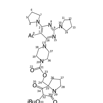 CC(=O)c1c(N2CCCC2)nc(N2CCCC2)nc1N1CCN(C(=O)OCC23CCCN2C(=O)C(OCC(C)C)C3=O)CC1